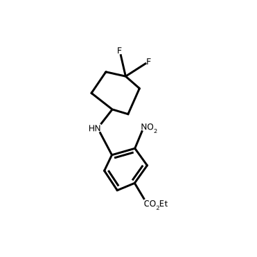 CCOC(=O)c1ccc(NC2CCC(F)(F)CC2)c([N+](=O)[O-])c1